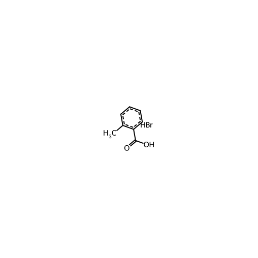 Br.Cc1ccccc1C(=O)O